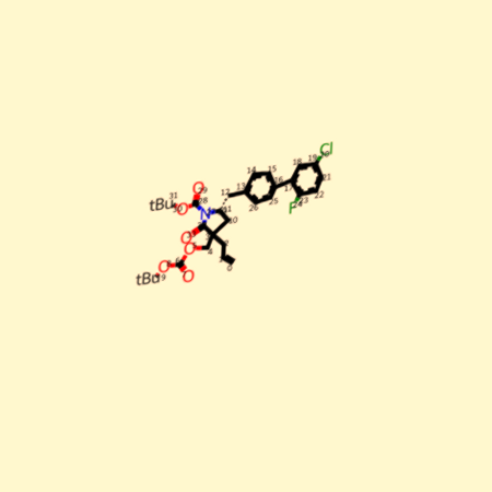 C=CCC1(COC(=O)OC(C)(C)C)C[C@@H](Cc2ccc(-c3cc(Cl)ccc3F)cc2)N(C(=O)OC(C)(C)C)C1=O